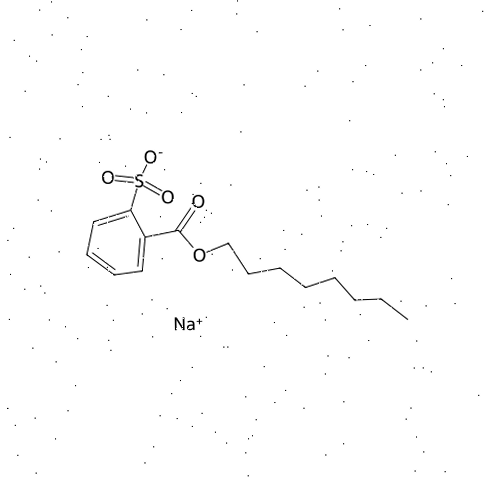 CCCCCCCCOC(=O)c1ccccc1S(=O)(=O)[O-].[Na+]